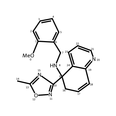 COc1ccccc1CNC1(c2noc(C)n2)CC=Cc2ncccc21